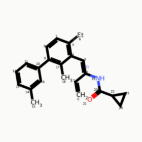 C=C/C(=C\c1c(CC)ccc(-c2cccc(C)c2)c1C)NC(=O)C1CC1